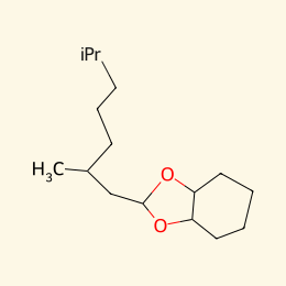 CC(C)CCCC(C)CC1OC2CCCCC2O1